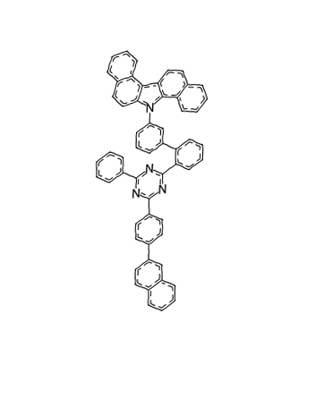 c1ccc(-c2nc(-c3ccc(-c4ccc5ccccc5c4)cc3)nc(-c3ccccc3-c3cccc(-n4c5ccc6ccccc6c5c5ccc6ccccc6c54)c3)n2)cc1